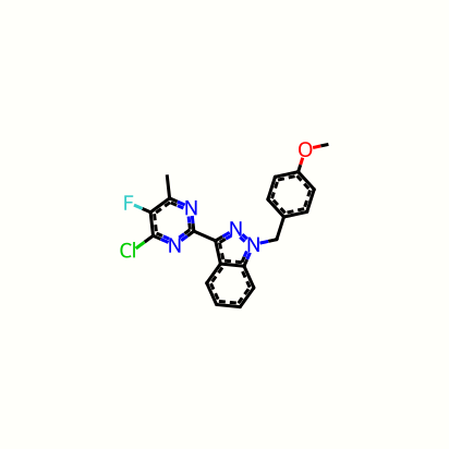 COc1ccc(Cn2nc(-c3nc(C)c(F)c(Cl)n3)c3ccccc32)cc1